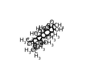 CC(=O)C1=C(O)C[C@]2(C)C[C@]3(C)Cc4c(N(C)C)cc(CC(C(C)C)C(O)CC(C)(C)C)c(O)c4C(=O)C3C(C)[C@]2(C)C1=O